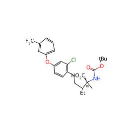 CCC(CCc1ccc(Oc2cccc(C(F)(F)F)c2)cc1Cl)[C@@](C)(NC(=O)OC(C)(C)C)C(=O)O